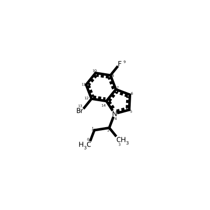 C[CH]C(C)n1ccc2c(F)ccc(Br)c21